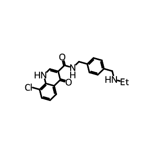 CCNCc1ccc(CNC(=O)c2c[nH]c3c(Cl)cccc3c2=O)cc1